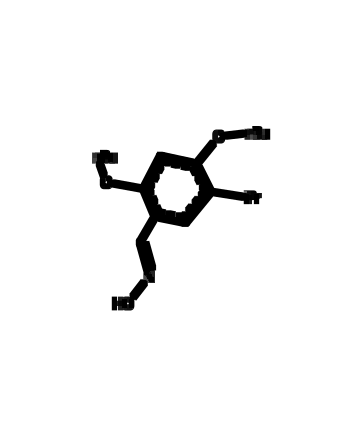 CCCCOc1cc(OCCCC)c(C(C)C)cc1/C=N/O